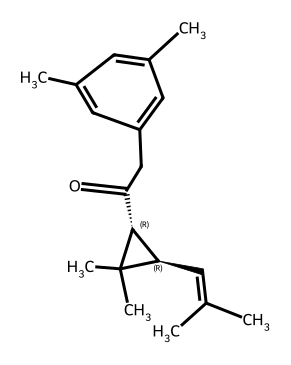 CC(C)=C[C@@H]1[C@@H](C(=O)Cc2cc(C)cc(C)c2)C1(C)C